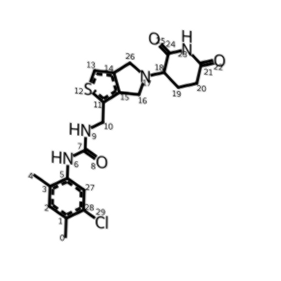 Cc1cc(C)c(NC(=O)NCc2scc3c2CN(C2CCC(=O)NC2=O)C3)cc1Cl